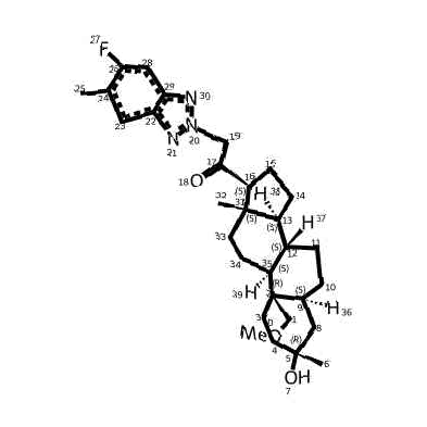 COC[C@]12CC[C@@](C)(O)C[C@@H]1CC[C@H]1[C@@H]3CC[C@H](C(=O)Cn4nc5cc(C)c(F)cc5n4)[C@@]3(C)CC[C@@H]12